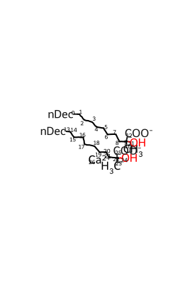 CCCCCCCCCCCCCCCCCCC(C)(O)C(=O)[O-].CCCCCCCCCCCCCCCCCCC(C)(O)C(=O)[O-].[Ca+2]